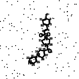 Cc1ccc(C=CS(=O)(=O)N2CCN(C(=O)C3CCN(c4ccncc4)CC3)CC2)cc1